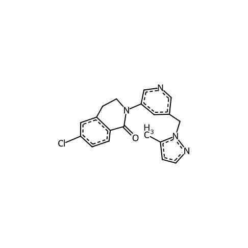 Cc1ccnn1Cc1cncc(N2CCc3cc(Cl)ccc3C2=O)c1